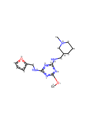 CCOc1nc(NCc2ccco2)nc(NCC2CCCN(C)C2)n1